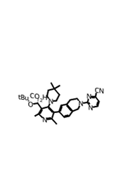 Cc1nc(C)c([C@H](OC(C)(C)C)C(=O)O)c(N2CCC(C)(C)CC2)c1-c1ccc2c(c1)CCN(c1nccc(C#N)n1)C2